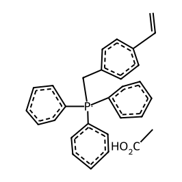 C=Cc1ccc(C[P](c2ccccc2)(c2ccccc2)c2ccccc2)cc1.CC(=O)O